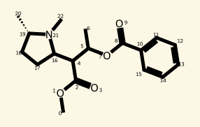 COC(=O)C(C(C)OC(=O)c1ccccc1)C1CC[C@H](C)N1C